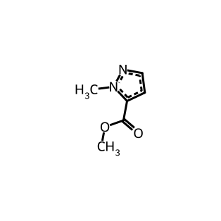 COC(=O)c1ccnn1C